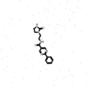 O=C(NCCN1CCNC1=O)c1cnc(-c2ccccc2)nc1